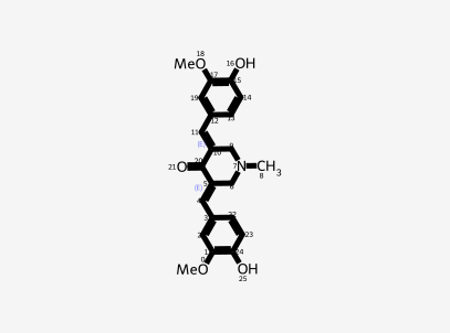 COc1cc(/C=C2\CN(C)C/C(=C\c3ccc(O)c(OC)c3)C2=O)ccc1O